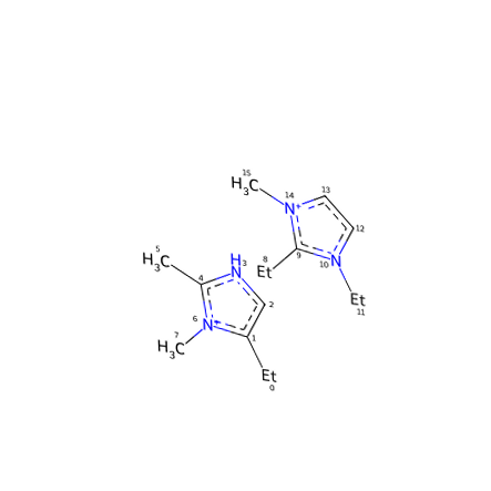 CCc1c[nH]c(C)[n+]1C.CCc1n(CC)cc[n+]1C